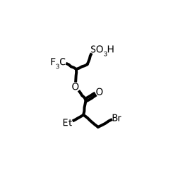 CCC(CBr)C(=O)OC(CS(=O)(=O)O)C(F)(F)F